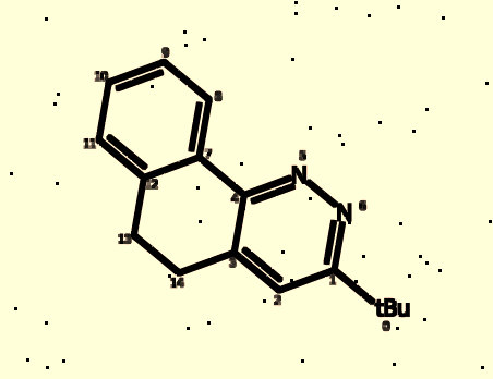 CC(C)(C)c1cc2c(nn1)-c1ccccc1CC2